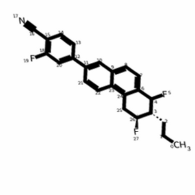 CCC[C@H]1C(F)c2ccc3cc(-c4ccc(C#N)c(F)c4)ccc3c2C[C@@H]1F